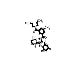 CCCN(CCC)C(=O)c1cc(C)cc(C(=O)N[C@@H](Cc2cc(F)cc(F)c2)[C@H](O)[C@H]2CNCCN2)c1